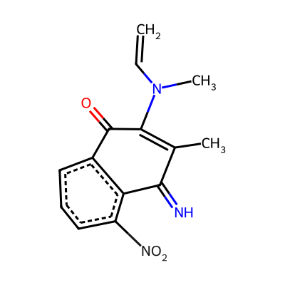 C=CN(C)C1=C(C)C(=N)c2c(cccc2[N+](=O)[O-])C1=O